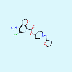 Nc1c(Cl)cc(C(=O)OC2CCN(CC3CCCO3)CC2)c2c1CCO2